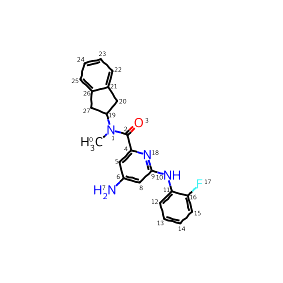 CN(C(=O)c1cc(N)cc(Nc2ccccc2F)n1)C1Cc2ccccc2C1